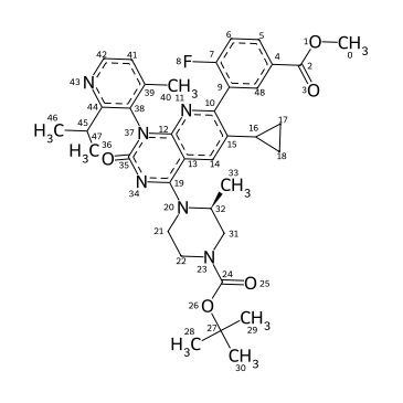 COC(=O)c1ccc(F)c(-c2nc3c(cc2C2CC2)c(N2CCN(C(=O)OC(C)(C)C)C[C@@H]2C)nc(=O)n3-c2c(C)ccnc2C(C)C)c1